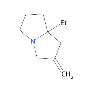 C=C1CN2CCCC2(CC)C1